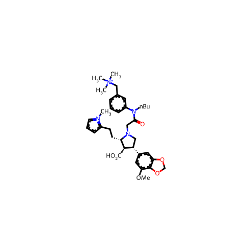 CCCCN(C(=O)CN1C[C@H](c2cc(OC)c3c(c2)OCO3)[C@@H](C(=O)O)[C@@H]1CCc1cccn1C)c1cccc(C[N+](C)(C)C)c1